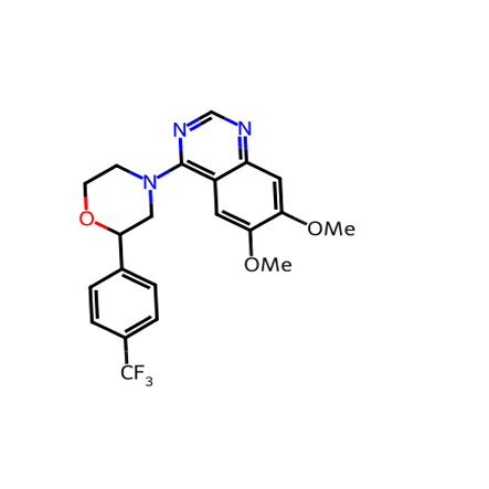 COc1cc2ncnc(N3CCOC(c4ccc(C(F)(F)F)cc4)C3)c2cc1OC